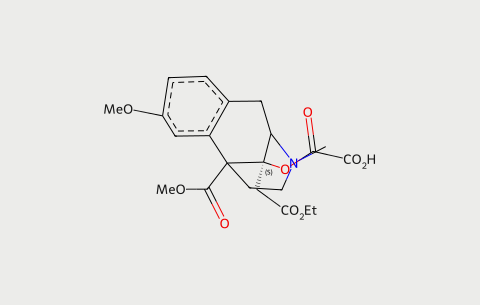 CCOC(=O)C[C@@]1(OC(=O)C(=O)O)C2Cc3ccc(OC)cc3C1(C(=O)OC)CCN2C